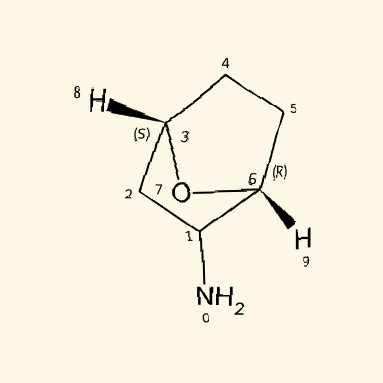 NC1C[C@@H]2CC[C@H]1O2